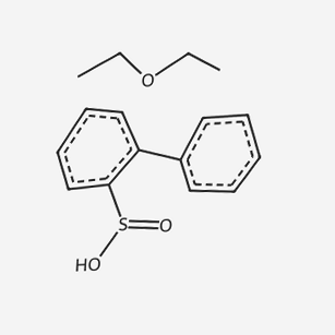 CCOCC.O=S(O)c1ccccc1-c1ccccc1